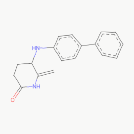 C=C1NC(=O)CCC1Nc1ccc(-c2ccccc2)cc1